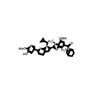 COc1ncc(-c2ccc3cc(-c4nc5cc(C(=O)N6CC7CCC6C7N)cc(OC)c5n4C)n(CC4CC4)c3n2)cc1O